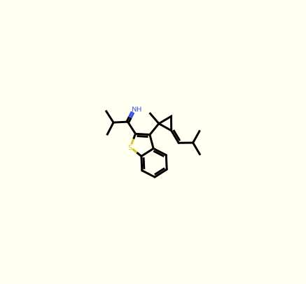 CC(C)/C=C1\CC1(C)c1c(C(=N)C(C)C)sc2ccccc12